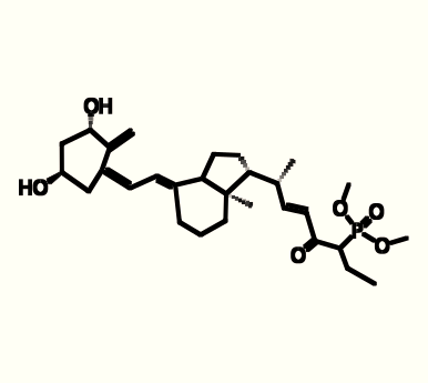 C=C1/C(=C\C=C2/CCC[C@@]3(C)C2CC[C@@H]3[C@H](C)/C=C/C(=O)C(CC)P(=O)(OC)OC)C[C@@H](O)C[C@@H]1O